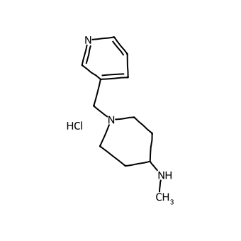 CNC1CCN(Cc2cccnc2)CC1.Cl